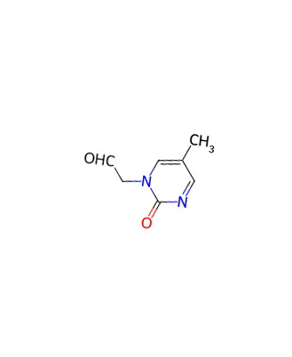 Cc1cnc(=O)n(CC=O)c1